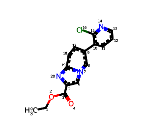 CCOC(=O)c1cn2cc(-c3cccnc3Cl)ccc2n1